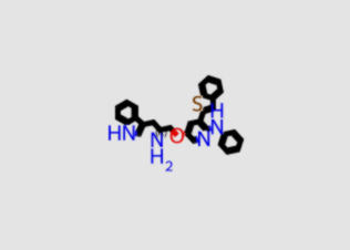 N[C@@H](COc1cnc(Nc2ccccc2)c(-c2cc3ccccc3s2)c1)Cc1c[nH]c2ccccc12